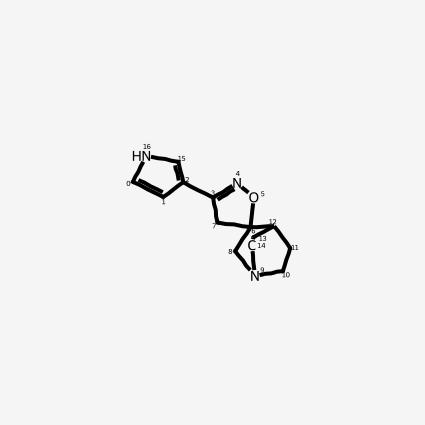 c1cc(C2=NOC3(C2)CN2CCC3CC2)c[nH]1